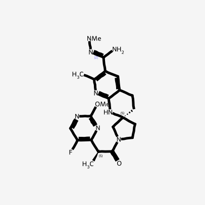 CN/N=C(\N)c1cc2c(nc1C)N[C@@]1(CC2)CCN(C(=O)[C@@H](C)c2nc(OC)ncc2F)C1